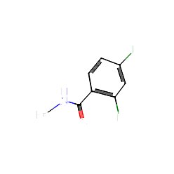 CCNC(=O)c1ccc(F)cc1F